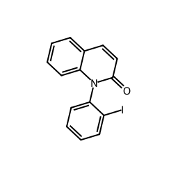 O=c1ccc2ccccc2n1-c1ccccc1I